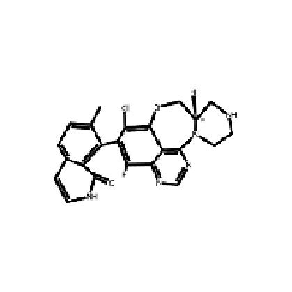 Cc1ccc2cc[nH]c(=O)c2c1-c1c(Cl)c2c3c(ncnc3c1F)N1CCNC[C@H]1CO2